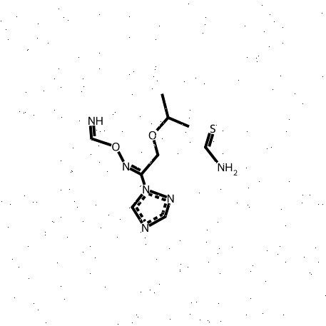 CC(C)OCC(=NOC=N)n1cncn1.NC=S